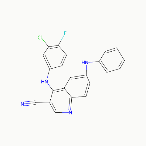 N#Cc1cnc2ccc(Nc3ccccc3)cc2c1Nc1ccc(F)c(Cl)c1